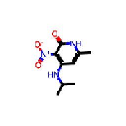 Cc1cc(NC(C)C)c([N+](=O)[O-])c(=O)[nH]1